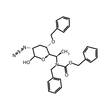 C[C@H]([C@H]1OC(O)[C@H](N=[N+]=[N-])C[C@@H]1OCc1ccccc1)N(Cc1ccccc1)C(=O)OCc1ccccc1